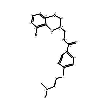 CN(C)CCOc1ccc(C(=O)NC[C@@H]2COc3cccc(Br)c3O2)cc1